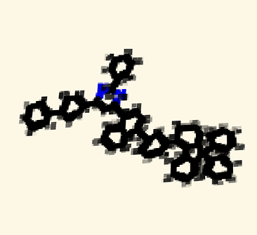 c1ccc(-c2ccc(-c3cc(-c4ccc(-c5cccc(-c6cccc7c6-c6ccccc6C7(c6ccccc6)c6ccccc6)c5)c5ccccc45)nc(-c4ccccc4)n3)cc2)cc1